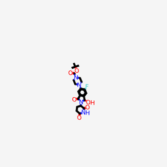 CC(C)(C)OC(=O)N1CCN(c2cc3c(cc2F)C(O)N(C2CCC(=O)NC2=O)C3=O)CC1